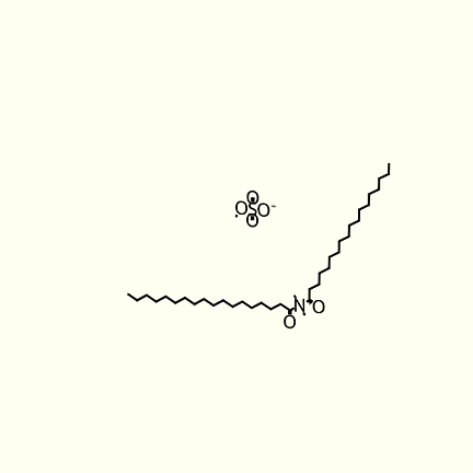 CCCCCCCCCCCCCCCCCC(=O)[N+](C)(C)C(=O)CCCCCCCCCCCCCCCCC.COS(=O)(=O)[O-]